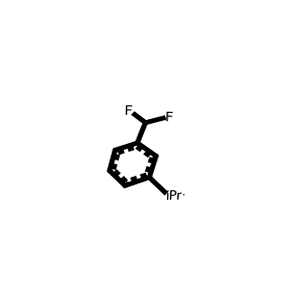 C[C](C)c1cccc(C(F)F)c1